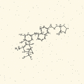 C[C@]1(c2cc(Nc3nccc4nc(OCCN5CCCC5=O)cnc34)cc(F)c2F)N=C(N)S[C@@]2(C(F)F)C[C@@H]12